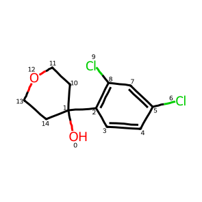 OC1(c2ccc(Cl)cc2Cl)CCOCC1